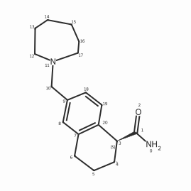 NC(=O)[C@H]1[CH]CCc2cc(CN3CCCCCC3)ccc21